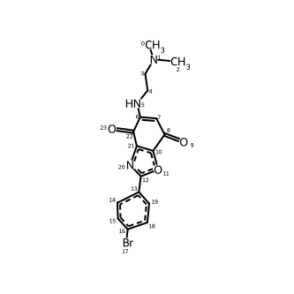 CN(C)CCNC1=CC(=O)c2oc(-c3ccc(Br)cc3)nc2C1=O